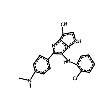 CN(C)c1ccc(-c2nc3c(C#N)c[nH]n3c2Nc2ccccc2Cl)cc1